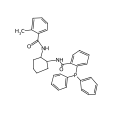 Cc1ccccc1C(=O)NC1CCCCC1NC(=O)c1ccccc1P(c1ccccc1)c1ccccc1